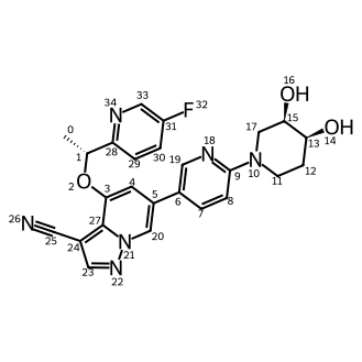 C[C@@H](Oc1cc(-c2ccc(N3CC[C@H](O)[C@H](O)C3)nc2)cn2ncc(C#N)c12)c1ccc(F)cn1